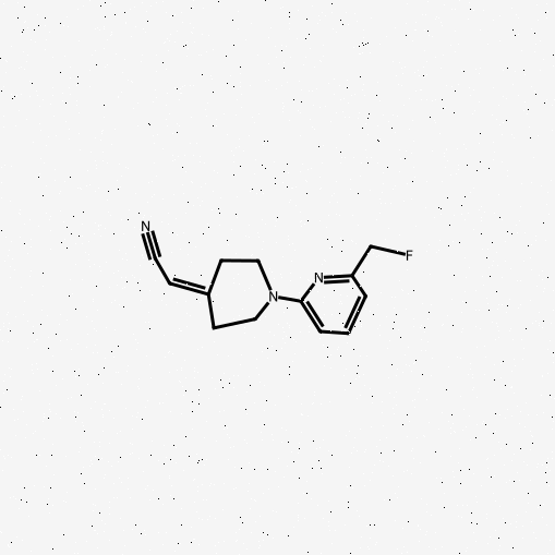 N#CC=C1CCN(c2cccc(CF)n2)CC1